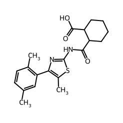 Cc1ccc(C)c(-c2nc(NC(=O)C3CCCCC3C(=O)O)sc2C)c1